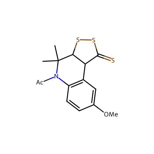 COc1ccc2c(c1)C1C(=S)SSC1C(C)(C)N2C(C)=O